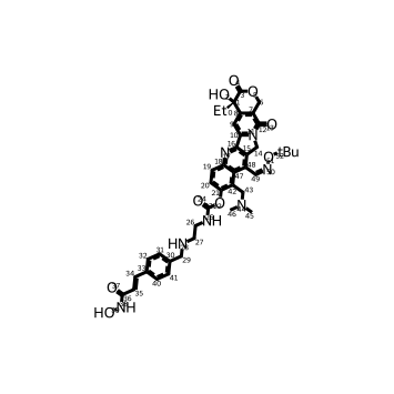 CC[C@@]1(O)C(=O)OCc2c1cc1n(c2=O)Cc2c-1nc1ccc(OC(=O)NCCNCc3ccc(/C=C/C(=O)NO)cc3)c(CN(C)C)c1c2/C=N\OC(C)(C)C